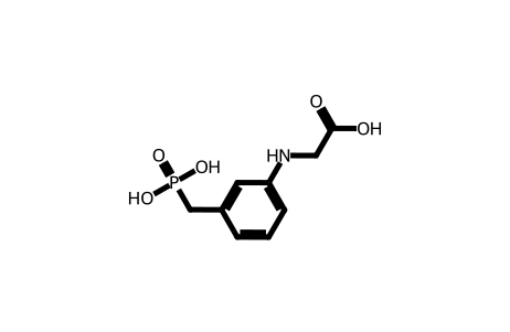 O=C(O)CNc1cccc(CP(=O)(O)O)c1